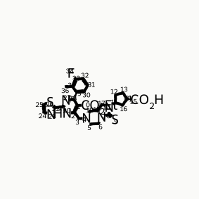 CCOC(=O)C1=C(CN2CCN3C(=S)N(C4CC[C@@H](C(=O)O)C4)CC3C2)NC(c2nccs2)=N[C@H]1c1cccc(F)c1C